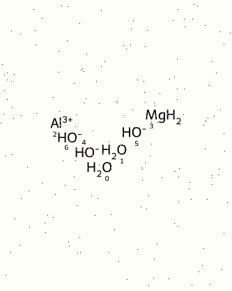 O.O.[Al+3].[MgH2].[OH-].[OH-].[OH-]